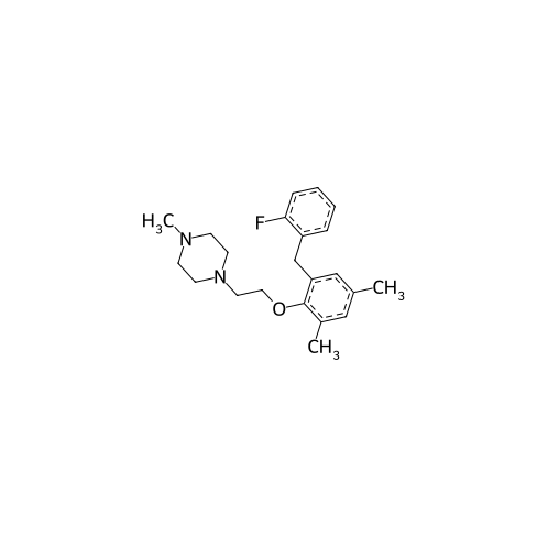 Cc1cc(C)c(OCCN2CCN(C)CC2)c(Cc2ccccc2F)c1